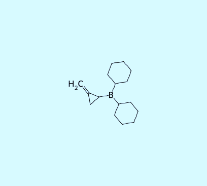 C=C1CC1B(C1CCCCC1)C1CCCCC1